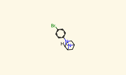 CN1C2CC1CN(c1ccc(Br)cc1)C2